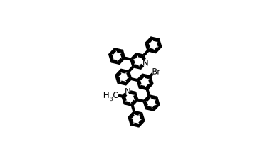 Cc1cc(-c2ccccc2)c(-c2ccccc2-c2cc(Br)cc(-c3ccccc3-c3cnc(-c4ccccc4)cc3-c3ccccc3)c2)cn1